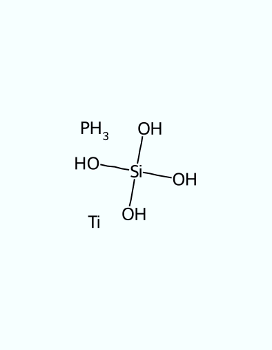 O[Si](O)(O)O.P.[Ti]